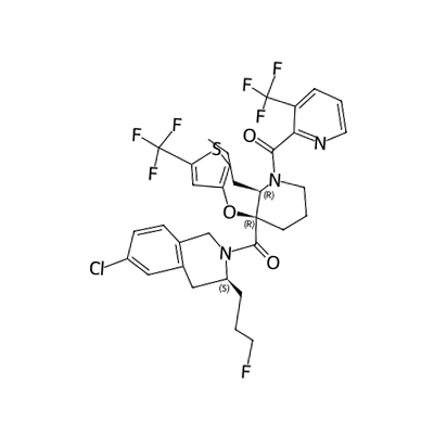 CCC[C@H]1N(C(=O)c2ncccc2C(F)(F)F)CCC[C@]1(Oc1csc(C(F)(F)F)c1)C(=O)N1Cc2ccc(Cl)cc2C[C@@H]1CCCF